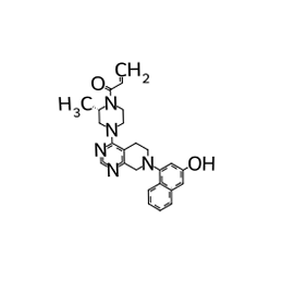 C=CC(=O)N1CCN(c2ncnc3c2CCN(c2cc(O)cc4ccccc24)C3)C[C@@H]1C